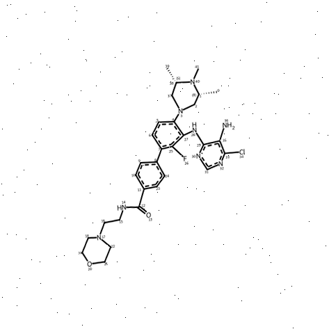 C[C@@H]1CN(c2ccc(-c3ccc(C(=O)NCCN4CCOCC4)cc3)c(F)c2Nc2ncnc(Cl)c2N)C[C@H](C)N1C